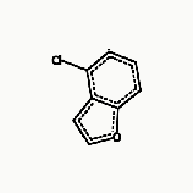 Clc1[c]ccc2occc12